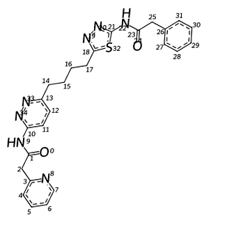 O=C(Cc1ccccn1)Nc1ccc(CCCCc2nnc(NC(=O)Cc3ccccc3)s2)nn1